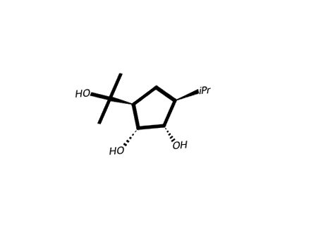 CC(C)[C@@H]1C[C@H](C(C)(C)O)[C@@H](O)[C@H]1O